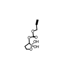 C#CCOC(=O)OC1CCOS1(O)O